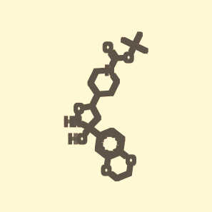 CC(C)(C)OC(=O)N1CCC(C2CC(O)(c3ccc4c(c3)OCCO4)NO2)CC1